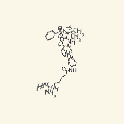 CC1(C)SCN(S(=O)(=O)c2ccccc2)[C@@H]1C(=O)N[C@@H](Cc1ccc(NC(=O)CCCCNC(=N)N)cc1)C(=O)O